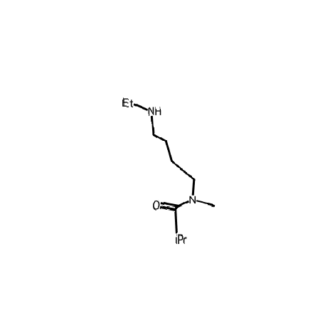 CCNCCCCN(C)C(=O)C(C)C